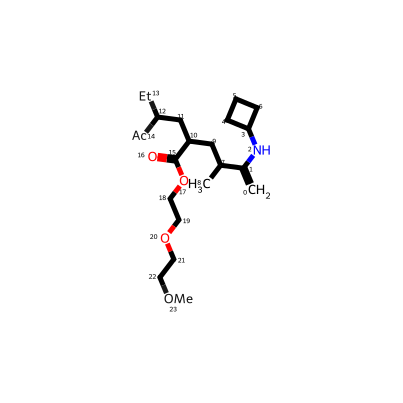 C=C(NC1CCC1)C(C)CC(CC(CC)C(C)=O)C(=O)OCCOCCOC